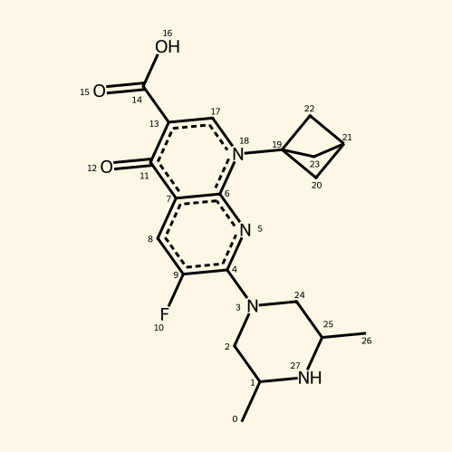 CC1CN(c2nc3c(cc2F)c(=O)c(C(=O)O)cn3C23CC(C2)C3)CC(C)N1